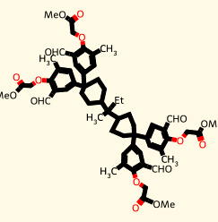 CCC(C)(C1CCC(c2cc(C)c(OCC(=O)OC)c(C=O)c2)(c2cc(C)c(OCC(=O)OC)c(C=O)c2)CC1)C1CCC(c2cc(C)c(OCC(=O)OC)c(C=O)c2)(c2cc(C)c(OCC(=O)OC)c(C=O)c2)CC1